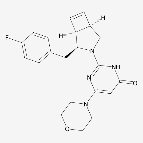 O=c1cc(N2CCOCC2)nc(N2C[C@@H]3C=C[C@@H]3[C@@H]2Cc2ccc(F)cc2)[nH]1